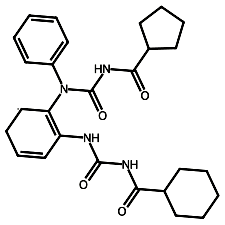 O=C(NC(=O)C1CCCCC1)NC1=C(N(C(=O)NC(=O)C2CCCC2)c2ccccc2)[CH]CC=C1